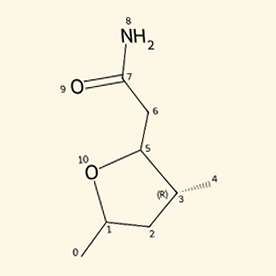 CC1C[C@@H](C)C(CC(N)=O)O1